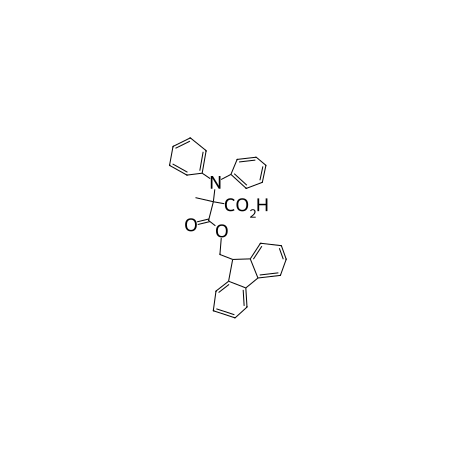 CC(C(=O)O)(C(=O)OCC1c2ccccc2-c2ccccc21)N(c1ccccc1)c1ccccc1